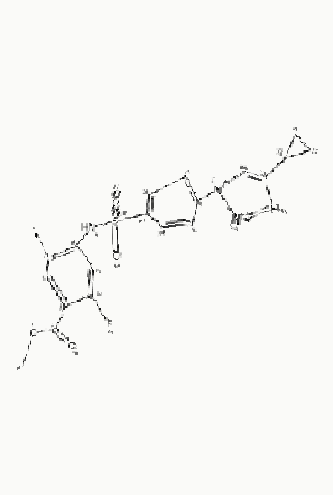 COC(=O)c1cc(F)c(NS(=O)(=O)c2ccc(-n3cc(C4CC4)nn3)cc2)cc1F